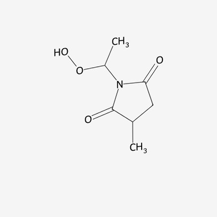 CC1CC(=O)N(C(C)OO)C1=O